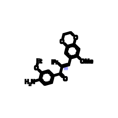 CCOc1cc(C(=O)/C(=C/c2cc3c(cc2OC)OCCO3)C(C)C)ccc1N